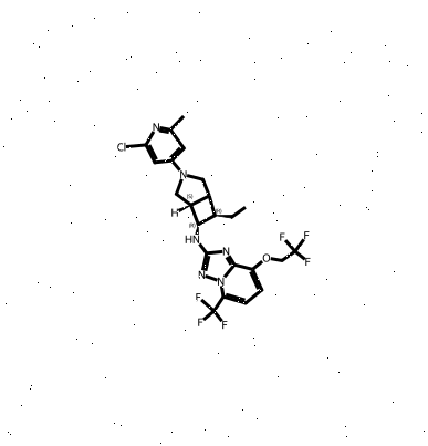 CC[C@@H]1C2CN(c3cc(C)nc(Cl)c3)C[C@H]2[C@@H]1Nc1nc2c(OCC(F)(F)F)ccc(C(F)(F)F)n2n1